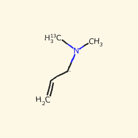 C=C[CH]N(C)[13CH3]